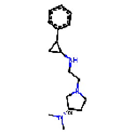 CN(C)[C@H]1CCN(CCNC2CC2c2ccccc2)C1